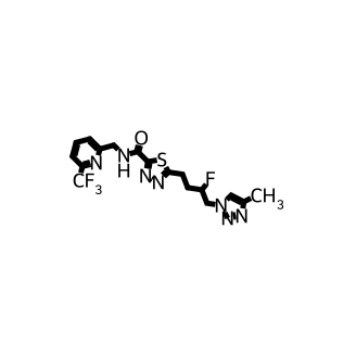 Cc1cn(CC(F)CCc2nnc(C(=O)NCc3cccc(C(F)(F)F)n3)s2)nn1